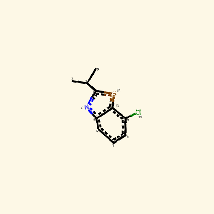 CC(C)c1nc2cccc(Cl)c2s1